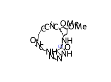 COc1cc2cc(c1OC)CN(C)CCCCC(=O)N(C)CCNc1ncnc3c1/C(=C/N2)C(=O)N3